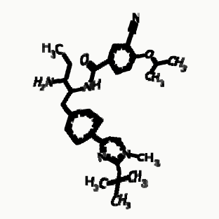 CCC(N)C(Cc1ccc(-c2cn(C)c(C(C)(C)C)n2)cc1)NC(=O)c1ccc(OC(C)C)c(C#N)c1